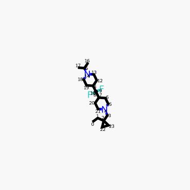 CCC1(CN2CCC(C(F)(F)C3CCN(C(C)C)CC3)CC2)CC1